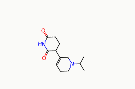 CC(C)N1CCC=C(C2CCC(=O)NC2=O)C1